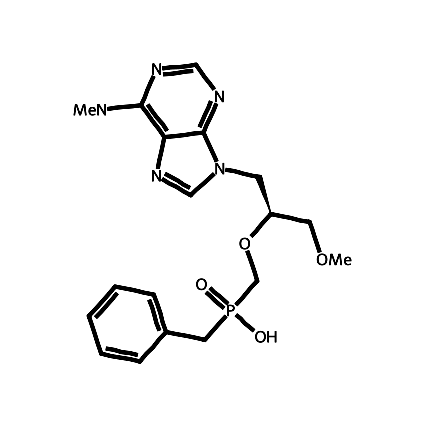 CNc1ncnc2c1ncn2C[C@@H](COC)OCP(=O)(O)Cc1ccccc1